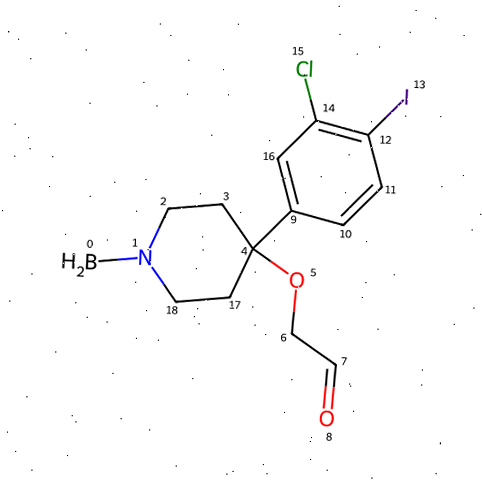 BN1CCC(OCC=O)(c2ccc(I)c(Cl)c2)CC1